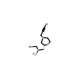 CC(C)C#CCN1CCO[C@H](CN(C)CC(C)(C)C)C1